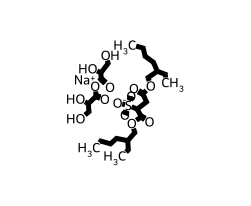 CCCCC(CC)COC(=O)CC(C(=O)OCC(CC)CCCC)S(=O)(=O)[O-].O=C(OC(=O)C(O)CO)C(O)CO.[Na+]